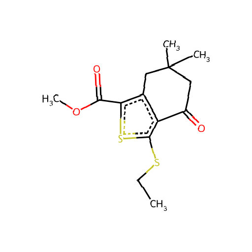 CCSc1sc(C(=O)OC)c2c1C(=O)CC(C)(C)C2